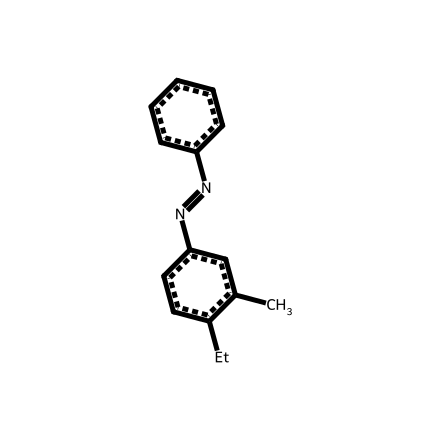 [CH2]Cc1ccc(N=Nc2ccccc2)cc1C